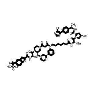 Cc1ncsc1-c1ccc([C@H](C)NC(=O)[C@@H]2C[C@@H](O)CN2C(=O)[C@@H](NC(=O)CCCCCCNC(=O)CC(=O)N2CCN(C(=O)[C@@H](NC(=O)c3cc4cc(C(F)(F)P(=O)(O)O)ccc4s3)C(C)(C)C)[C@H](C(=O)N3CCO[C@H](c4ccccc4)C3)C2)C(C)(C)C)cc1